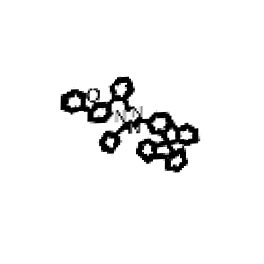 c1ccc(-c2nc(-c3ccc4c(c3)C3(c5ccccc5-c5ccccc53)c3ccccc3-4)nc(-c3ccccc3-c3cccc4c3oc3ccccc34)n2)cc1